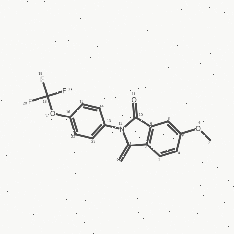 C=C1c2ccc(OC)cc2C(=O)N1c1ccc(OC(F)(F)F)cc1